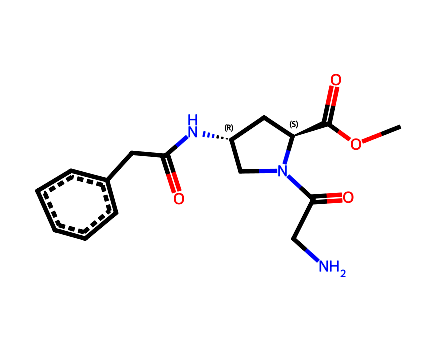 COC(=O)[C@@H]1C[C@@H](NC(=O)Cc2ccccc2)CN1C(=O)CN